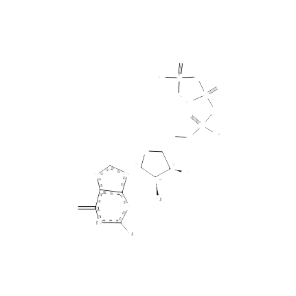 Nc1nc2c(ncn2[C@@H]2O[C@H](COP(=O)(O)OP(=O)(O)OP(=O)(O)O)[C@@H](O)[C@H]2N)c(=O)[nH]1